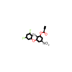 C#CC(=O)Oc1cc([N+](=O)[O-])cc(Oc2cc(F)cc(F)c2)c1CC